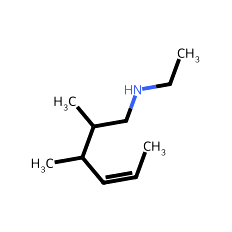 C/C=C\C(C)C(C)CNCC